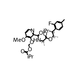 COc1ccnc(C(=O)N[C@@H](C)C(=O)O[C@@H](C)[C@H](c2ccc(C)cc2F)C(C)C)c1OCOC(=O)C(C)C